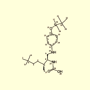 C[C@@H](CCC(C)(C)C)[C@@H](CNc1ccc(O[Si](C)(C)C(C)(C)C)cc1)NC(=O)O